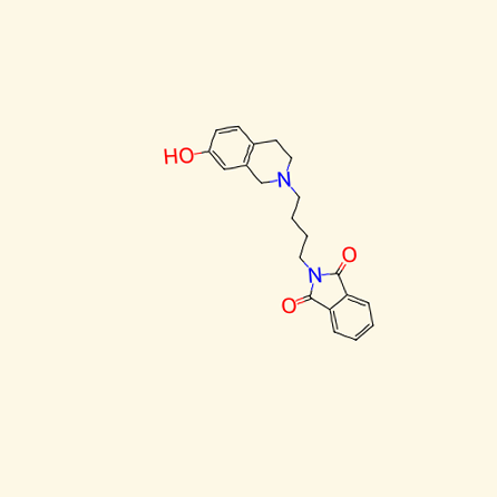 O=C1c2ccccc2C(=O)N1CCCCN1CCc2ccc(O)cc2C1